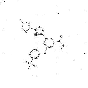 CC1COC(c2ccc(-c3cc(Oc4cccc(S(C)(=O)=O)c4)cc(C(=O)N(C)C)c3)[nH]2)=N1